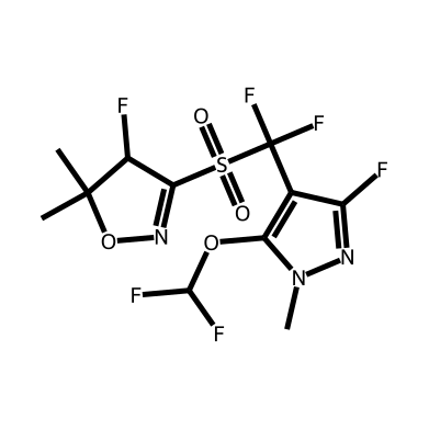 Cn1nc(F)c(C(F)(F)S(=O)(=O)C2=NOC(C)(C)C2F)c1OC(F)F